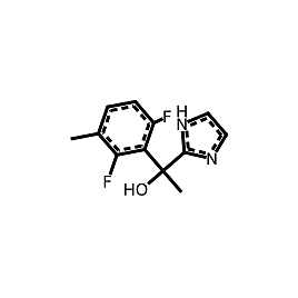 Cc1ccc(F)c(C(C)(O)c2ncc[nH]2)c1F